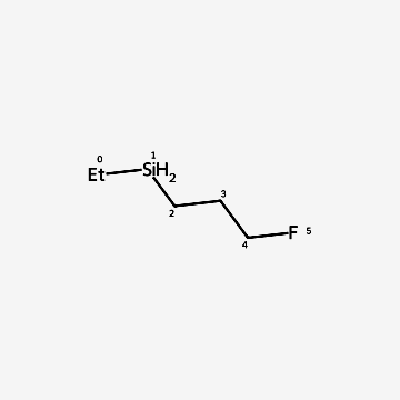 CC[SiH2]CCCF